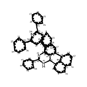 c1ccc(C2=NC(c3cccc4cccc(-c5ccc(-c6cc(-c7ccccc7)nc(-c7ccccc7)c6)cc5)c34)NC(c3ccccc3)=N2)cc1